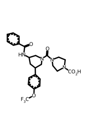 O=C(NC1CC(c2ccc(OC(F)(F)F)cc2)CN(C(=O)N2CCN(C(=O)O)CC2)C1)c1ccccc1